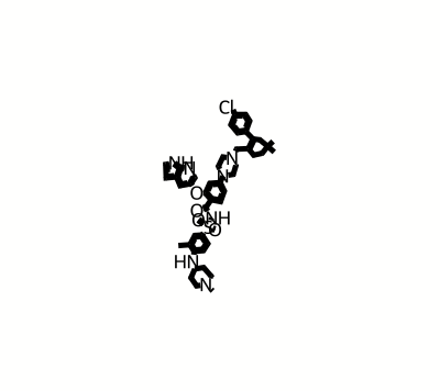 Cc1cc(S(=O)(=O)NC(=O)c2ccc(N3CCN(CC4=C(c5ccc(Cl)cc5)CC(C)(C)CC4)CC3)cc2Oc2cnc3[nH]ccc3c2)ccc1NC1CCN(C)CC1